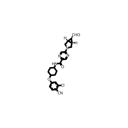 N#Cc1ccc(OC2CCC(NC(=O)c3cnc(N4C[C@@H]5[C@@H](C=O)[C@@H]5C4)cn3)CC2)cc1Cl